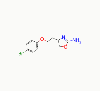 NC1=NC(CCOc2ccc(Br)cc2)CO1